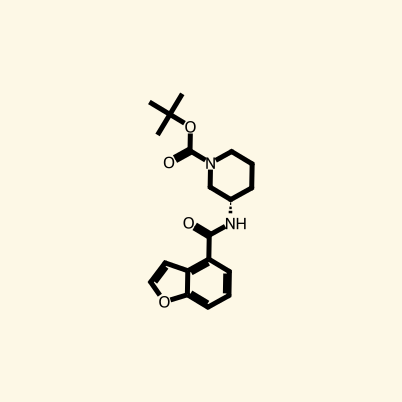 CC(C)(C)OC(=O)N1CCC[C@H](NC(=O)c2cccc3occc23)C1